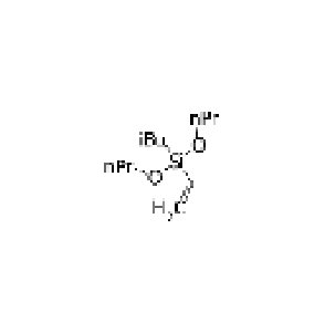 C=C[Si](OCCC)(OCCC)C(C)CC